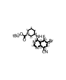 CC(C)(C)OC(=O)N1CCC[C@H](Nc2ncnc3c(C#N)cc(Br)c(F)c23)C1